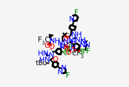 CC(C)(C)C[C@]1(c2ccc(-c3ncc(F)cn3)cc2)NC(=N)N([C@H](COC(=O)NC2(C(F)(F)F)CC2)c2ccc(Cl)c(-n3nc(CC(C)(C)C[C@]4(c5ccc(-c6ccc(F)cn6)cc5)NC(=N)N([C@H](COC(=O)NC5(C(F)(F)F)CC5)c5ccc(Cl)c(-n6ncnc6C(F)F)c5)C4=O)nc3C(F)F)c2)C1=O